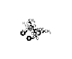 CC(C)C[C@@H](CNC(=O)OCc1ccccc1)C(=O)N1CC(=O)C(NC(=O)[C@H](CC(C)C)NC(=O)OCc2ccccn2)C1